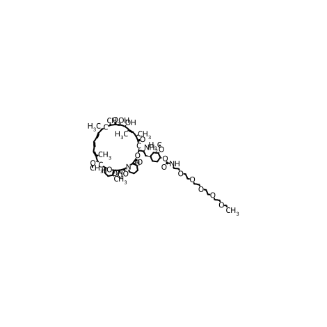 CCOCCOCCOCCOCCOCCNC(=O)O[C@@H]1CC[C@@H](C[C@@H](N)[C@@H]2CC(=O)[C@H](C)/C=C(\C)[C@@H](O)[C@@H](O)C(=O)C(C)C[C@H](C)/C=C/C=C/C=C(\C)[C@@H](OC)C[C@@H]3CC[C@@H](C)[C@@](O)(O3)C(=O)C(=O)N3CCCC[C@H]3C(=O)O2)C[C@H]1OC